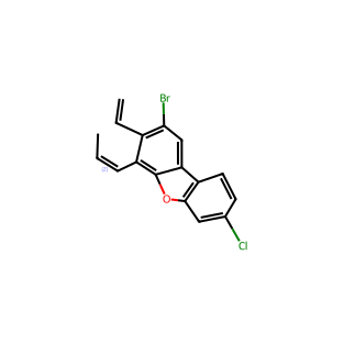 C=Cc1c(Br)cc2c(oc3cc(Cl)ccc32)c1/C=C\C